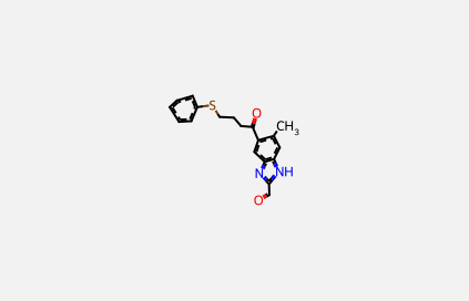 Cc1cc2[nH]c(C=O)nc2cc1C(=O)CCCSc1ccccc1